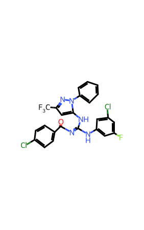 O=C(/N=C(/Nc1cc(F)cc(Cl)c1)Nc1cc(C(F)(F)F)nn1-c1ccccc1)c1ccc(Cl)cc1